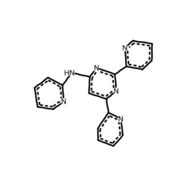 c1ccc(Nc2cc(-c3ccccn3)nc(-c3ccccn3)n2)nc1